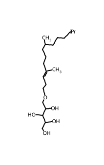 C/C(=C\CCOCC(O)C(O)C(O)CO)CCCC(C)CCCC(C)C